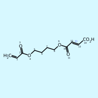 C=CC(=O)OCCCCOC(=O)/C=C/C(=O)O